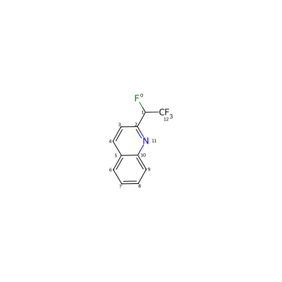 FC(c1ccc2ccccc2n1)C(F)(F)F